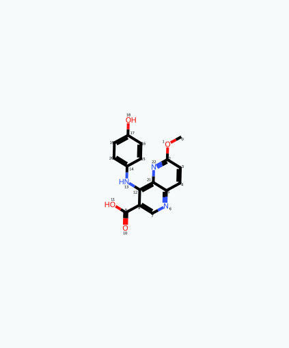 COc1ccc2ncc(C(=O)O)c(Nc3ccc(O)cc3)c2n1